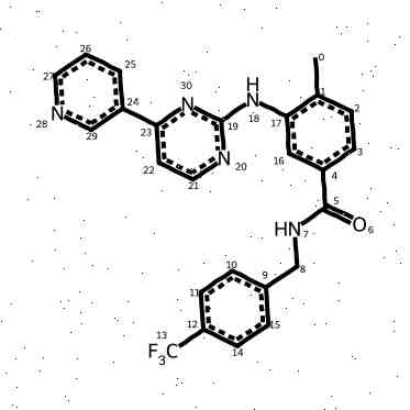 Cc1ccc(C(=O)NCc2ccc(C(F)(F)F)cc2)cc1Nc1nccc(-c2cccnc2)n1